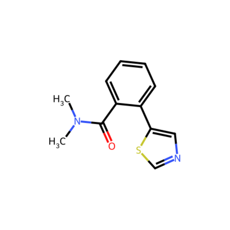 CN(C)C(=O)c1ccccc1-c1cncs1